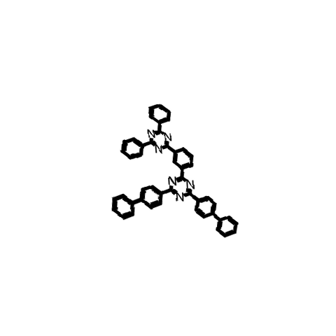 c1ccc(-c2ccc(-c3nc(-c4ccc(-c5ccccc5)cc4)nc(-c4cccc(-c5nc(-c6ccccc6)nc(-c6ccccc6)n5)c4)n3)cc2)cc1